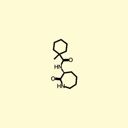 CC1(C(=O)N[C@H]2CCCCNC2=O)CCCCC1